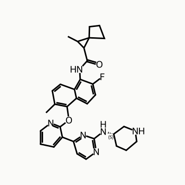 Cc1ccc2c(NC(=O)C3C(C)C34CCC4)c(F)ccc2c1Oc1ncccc1-c1ccnc(N[C@H]2CCCNC2)n1